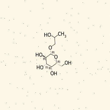 CC(O)CO[C@@H]1O[C@H](CO)[C@H](O)[C@H](O)[C@H]1O